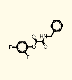 O=C(NCc1ccccc1)C(=O)Oc1ccc(F)cc1F